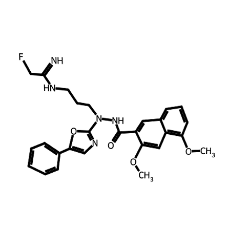 COc1cc2c(OC)cccc2cc1C(=O)NN(CCCNC(=N)CF)c1ncc(-c2ccccc2)o1